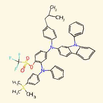 CC(C)Cc1ccc(N(c2ccc(OS(=O)(=O)C(F)(F)F)c(N(c3ccccc3)c3ccc(S(C)(C)C)cc3)c2)c2ccc3c4ccccc4n(-c4ccccc4)c3c2)cc1